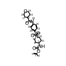 C=C(C)OC(=O)NC1CCN(S(=O)(=O)c2ccc(N(C)C(=O)C3CCOCC3)cc2)CC1